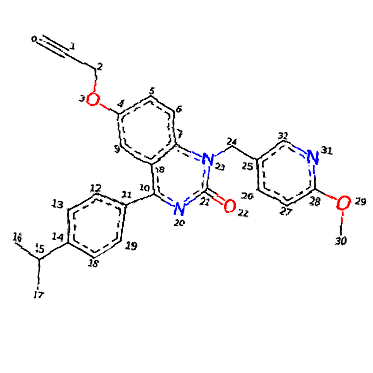 C#CCOc1ccc2c(c1)c(-c1ccc(C(C)C)cc1)nc(=O)n2Cc1ccc(OC)nc1